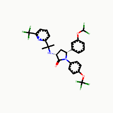 CC(C)(N[C@@H]1C[C@H](c2cccc(OC(F)F)c2)N(c2ccc(OC(F)(F)F)cc2)C1=O)c1cccc(C(F)(F)F)n1